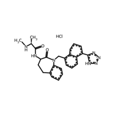 CN[C@@H](C)C(=O)NC1CCc2ccccc2N(Cc2cccc3c(-c4nnn[nH]4)cccc23)C1=O.Cl